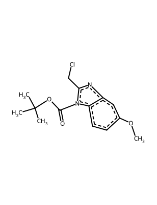 COc1ccc2c(c1)nc(CCl)n2C(=O)OC(C)(C)C